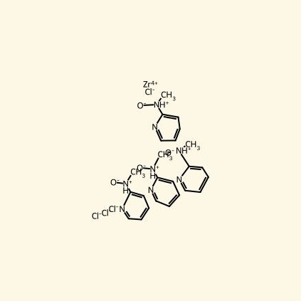 C[NH+]([O-])c1ccccn1.C[NH+]([O-])c1ccccn1.C[NH+]([O-])c1ccccn1.C[NH+]([O-])c1ccccn1.[Cl-].[Cl-].[Cl-].[Cl-].[Zr+4]